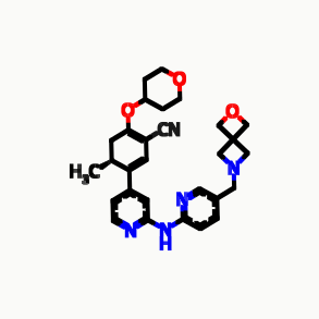 C[C@H]1CC(OC2CCOCC2)=C(C#N)C=C1c1ccnc(Nc2ccc(CN3CC4(COC4)C3)cn2)c1